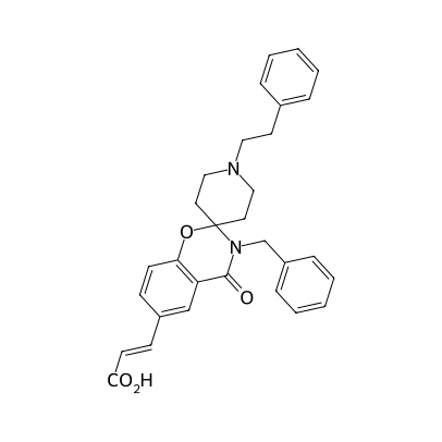 O=C(O)C=Cc1ccc2c(c1)C(=O)N(Cc1ccccc1)C1(CCN(CCc3ccccc3)CC1)O2